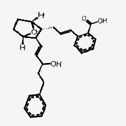 O=C(O)c1ccccc1C=CC[C@@H]1[C@@H](C=CC(O)CCc2ccccc2)[C@@H]2CC[C@H]1O2